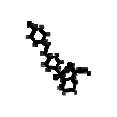 NC(=O)c1cccnc1S(=O)(=O)c1ccc(C=Cc2ccc(F)cc2)cc1